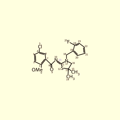 COc1ccc(Cl)cc1C(=O)/N=C1\SC(C)(C)CN1Cc1ccccc1F